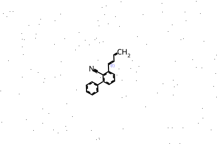 C=C/C=C/c1cccc(-c2ccccc2)c1C#N